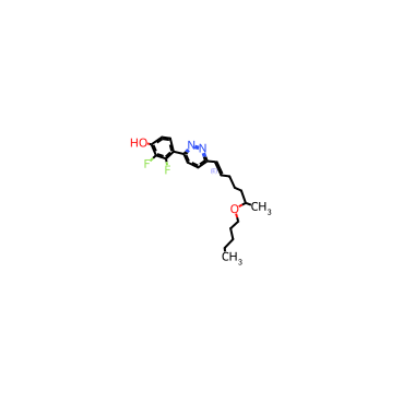 CCCCCOC(C)CCC/C=C/c1ccc(-c2ccc(O)c(F)c2F)nn1